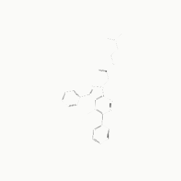 CN(C)CCNC(=O)Cn1nc(-c2ccccc2)c2c(Cl)c(-c3ccccc3)nnc21